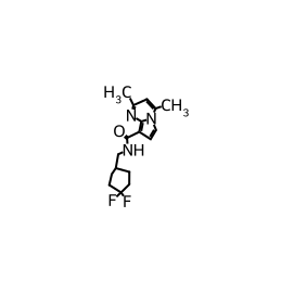 Cc1cc(C)n2ccc(C(=O)NCC3CCC(F)(F)CC3)c2n1